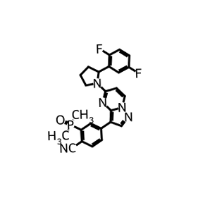 CP(C)(=O)c1cc(-c2cnn3ccc(N4CCCC4c4cc(F)ccc4F)nc23)ccc1C#N